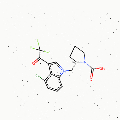 O=C(O)N1CCC[C@H]1Cn1cc(C(=O)C(F)(F)F)c2c(Cl)cccc21